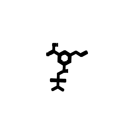 C=CCc1cc(NCS(=O)(=O)C(C)C)cc(C(=O)O)c1